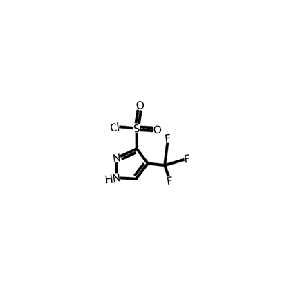 O=S(=O)(Cl)c1n[nH]cc1C(F)(F)F